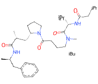 CC[C@H](C)C(CCC(=O)N1CCC[C@H]1C[C@@H](C)C(=O)N[C@H](C)Cc1ccccc1)N(C)C(=O)[C@@H](NC(=O)CC(C)C)C(C)C